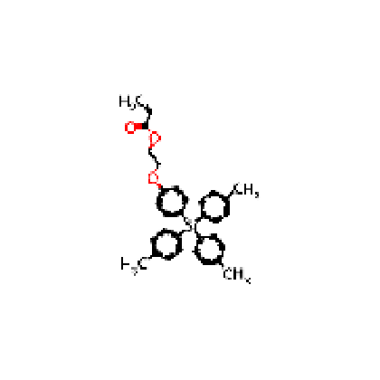 C=CC(=O)OCCOc1ccc([Si](c2ccc(C)cc2)(c2ccc(C)cc2)c2ccc(C)cc2)cc1